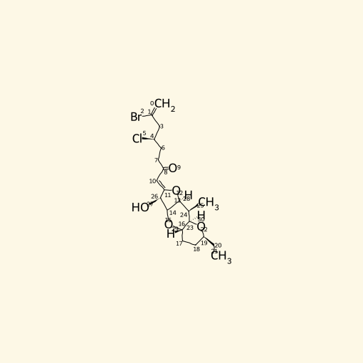 C=C(Br)C[C@H](Cl)CCC(=O)/C=C1\O[C@@H]2C(O[C@H]3CC[C@H](CC)O[C@@H]3[C@@H]2C)[C@H]1O